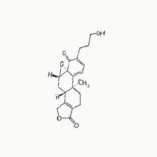 C[C@]12CCC3=C(COC3=O)[C@@H]1C[C@@H]1O[C@@]13C(=O)C(CCCO)=CC=C32